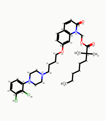 CCCCCCC(C)(C)C(=O)OCn1c(=O)ccc2ccc(OCCCCN3CCN(c4cccc(Cl)c4Cl)CC3)cc21